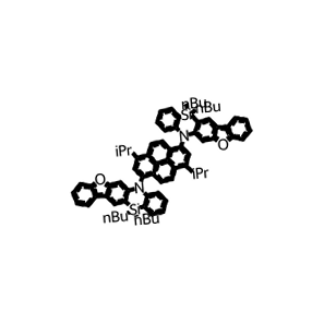 CCCC[Si]1(CCCC)c2ccccc2N(c2cc(C(C)C)c3ccc4c(N5c6ccccc6[Si](CCCC)(CCCC)c6cc7c(cc65)oc5ccccc57)cc(C(C)C)c5ccc2c3c54)c2cc3oc4ccccc4c3cc21